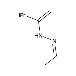 C=C(N/N=C\C)C(C)C